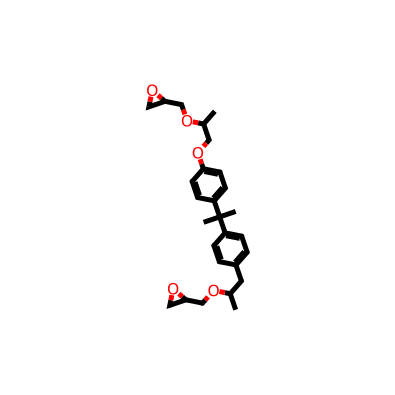 CC(COc1ccc(C(C)(C)c2ccc(CC(C)OCC3CO3)cc2)cc1)OCC1CO1